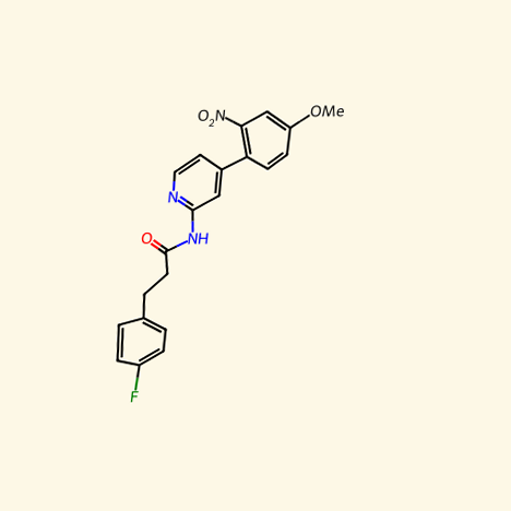 COc1ccc(-c2ccnc(NC(=O)CCc3ccc(F)cc3)c2)c([N+](=O)[O-])c1